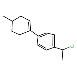 CC1CC=C(c2ccc(C(C)Cl)cc2)CC1